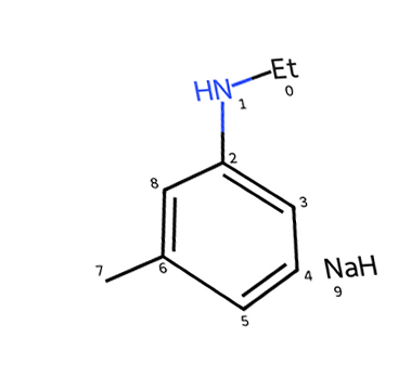 CCNc1cccc(C)c1.[NaH]